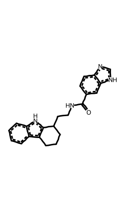 O=C(NCCC1CCCc2c1[nH]c1ccccc21)c1ccc2nc[nH]c2c1